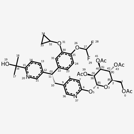 CC(=O)OC[C@H]1O[C@H](Oc2ccc(C[C@H](c3ccc(C(C)(C)O)nc3)c3ccc(OC(F)F)c(OC4CC4)c3)cn2)[C@@H](OC(C)=O)[C@@H](OC(C)=O)[C@@H]1OC(C)=O